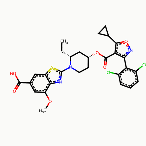 CC[C@@H]1C[C@H](OC(=O)c2c(-c3c(Cl)cccc3Cl)noc2C2CC2)CCN1c1nc2c(OC)cc(C(=O)O)cc2s1